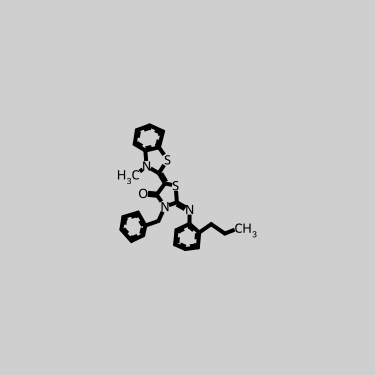 CCCc1ccccc1N=C1S/C(=C2\Sc3ccccc3N2C)C(=O)N1Cc1ccccc1